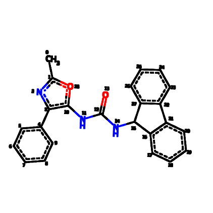 Cc1nc(-c2ccccc2)c(NC(=O)NC2c3ccccc3-c3ccccc32)o1